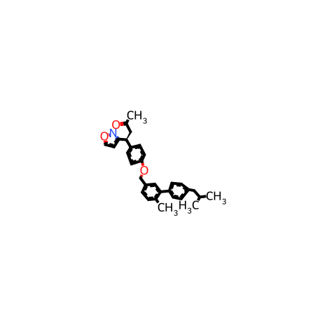 CC(=O)C[C@@H](c1ccc(OCc2ccc(C)c(-c3ccc(CC(C)C)cc3)c2)cc1)c1ccon1